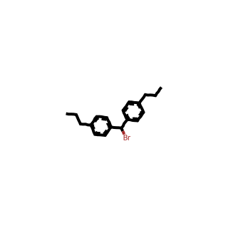 CCCc1ccc(C(Br)c2ccc(CCC)cc2)cc1